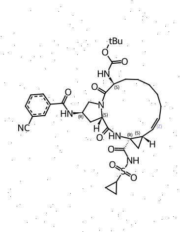 CC(C)(C)OC(=O)N[C@H]1CCCCC/C=C\[C@@H]2C[C@@]2(C(=O)NS(=O)(=O)C2CC2)NC(=O)[C@@H]2C[C@@H](NC(=O)c3cccc(C#N)c3)CN2C1=O